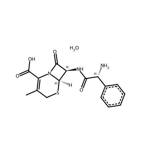 CC1=C(C(=O)O)N2C(=O)[C@@H](NC(=O)[C@H](N)c3ccccc3)[C@H]2SC1.O